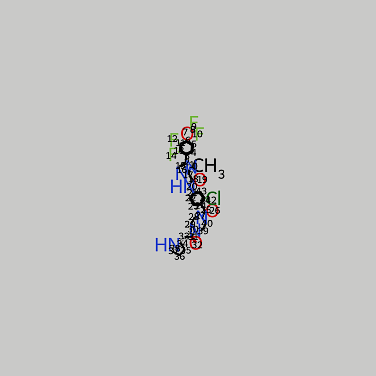 Cn1c(-c2ccc(OC(F)F)c(F)c2F)cnc1C(=O)Nc1ccc(C(=O)N2CCN(C(=O)C[C@@H]3CCCN3)CC2)c(Cl)c1